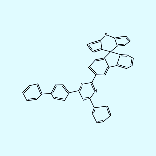 c1ccc(-c2ccc(-c3nc(-c4ccccc4)nc(-c4ccc5c(c4)-c4ccccc4C54c5ccccc5Sc5ccccc54)n3)cc2)cc1